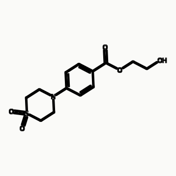 O=C(OCCO)c1ccc(N2CCS(=O)(=O)CC2)cc1